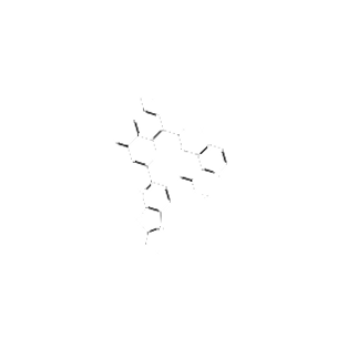 COC(=O)c1ncccc1N[C@H](C)c1cc(C)cc2c(=O)cc(-c3ccc4nc(C)sc4n3)oc12